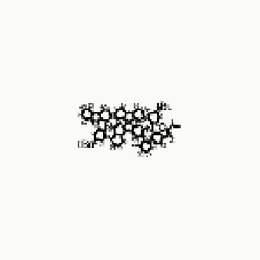 C=Cc1oc2c(N(c3ccc(C(C)(C)C)cc3)c3cc4c(c5oc6ccccc6c35)-c3c(cc(N(c5ccc(C(C)(C)C)cc5)c5cccc6c5oc5ccccc56)c5ccccc35)C43c4ccccc4-c4ccccc43)cccc2c1C